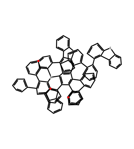 c1ccc(-c2ccccc2-c2c3c(c(N(c4ccccc4-c4cccc5sc6ccccc6c45)c4c5c(cc(-c6ccccc6)c4-c4ccccc4)-c4ccccc4C5)c(-c4ccccc4)c2-c2ccccc2)Cc2cccc(-c4ccccc4-c4cccc5sc6ccccc6c45)c2-3)cc1